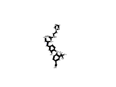 N#Cc1ccc(Oc2ccc(/C=C(/C=O)SC(=N)NCCn3cncn3)cc2F)c(C(F)(F)F)c1